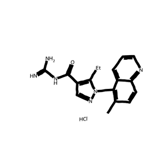 CCc1c(C(=O)NC(=N)N)cnn1-c1c(C)ccc2ncccc12.Cl